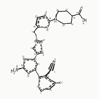 N#Cc1c(I)cccc1-c1cc(-c2cn(Cc3cnc(N4CCC(C(=O)O)CC4)s3)nn2)nc(N)n1